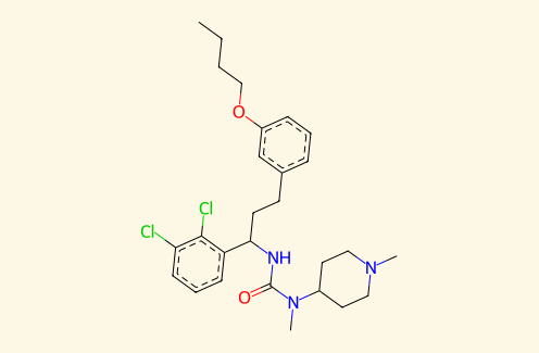 CCCCOc1cccc(CCC(NC(=O)N(C)C2CCN(C)CC2)c2cccc(Cl)c2Cl)c1